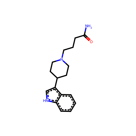 NC(=O)CCCN1CCC(c2c[nH]c3ccccc23)CC1